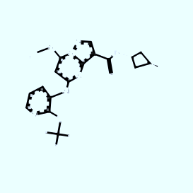 BC(B)(B)Oc1ncccc1Nc1cc(NC)n2ncc(C(=O)N[C@H]3C[C@H](O)C3)c2n1